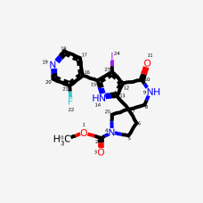 COC(=O)N1CCC2(CNC(=O)c3c2[nH]c(-c2ccncc2F)c3I)C1